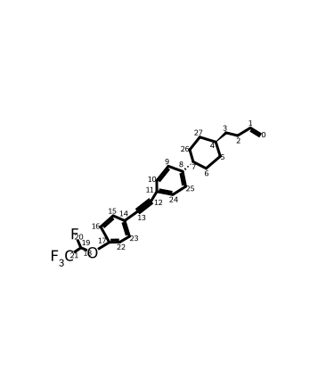 C=CCC[C@H]1CC[C@H](c2ccc(C#Cc3ccc(OC(F)C(F)(F)F)cc3)cc2)CC1